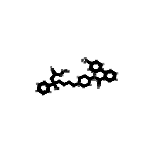 CCCCOC(=O)CC(CC)(CCCCN1CCC(NC(=O)c2ccccc2-c2ccc(C(F)(F)F)cc2)CC1)c1ccccc1